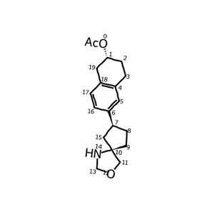 CC(=O)O[C@@H]1CCc2cc([C@H]3CC[C@]4(COCN4)C3)ccc2C1